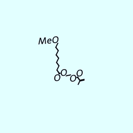 C=C(C)C(=O)OCCOC(=O)CCCCCCCCOC